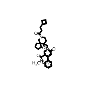 CN(C)C(=O)c1cn(CC2(O)CCN(C(=O)CCC3CCC3)CC23CCCC3)c(=O)cc1-c1ccccc1